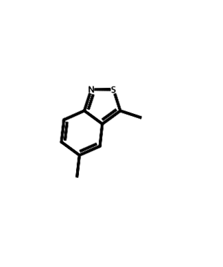 Cc1ccc2nsc(C)c2c1